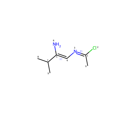 C/C(Cl)=N\C=C(/N)C(C)C